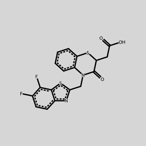 O=C(O)CC1Sc2ccccc2N(Cc2nc3ccc(F)c(F)c3s2)C1=O